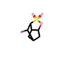 O=S1(=O)OC2CC3CC2C1C3I